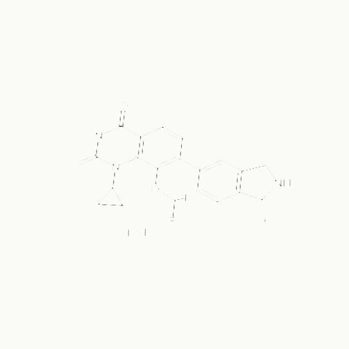 C[C@H]1NCc2cc(-c3ccc4c(=O)[nH]c(=O)n(C5CC5)c4c3OC(F)F)ccc21.Cl